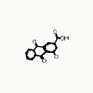 O=C(O)c1cc(Cl)c2c(c1)C(=O)c1ccccc1C2=O